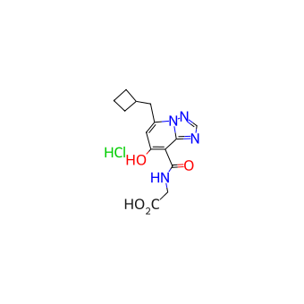 Cl.O=C(O)CNC(=O)c1c(O)cc(CC2CCC2)n2ncnc12